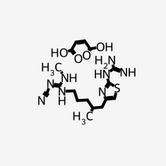 CN/C(=N/C#N)NCCCC(C)Cc1csc(NC(=N)N)n1.O=C(O)/C=C\C(=O)O